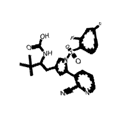 CC(C)(C)C(Cc1cc(-c2cccnc2C#N)n(S(=O)(=O)c2ccc(F)cc2F)c1)NC(=O)O